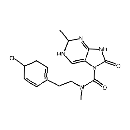 CC1N=c2[nH]c(=O)n(C(=O)N(C)CCC3=CCC(Cl)C=C3)c2=CN1